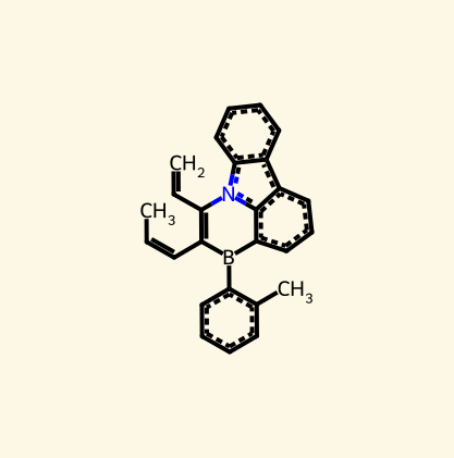 C=CC1=C(/C=C\C)B(c2ccccc2C)c2cccc3c4ccccc4n1c23